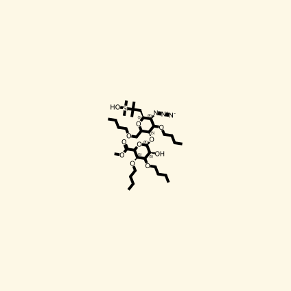 CCCCOCC1O[C@@H](CC(C)(C)[Si](C)(C)O)[C@@H](N=[N+]=[N-])C(OCCCC)[C@@H]1O[C@@H]1OC(C(=O)OC)[C@@H](OCCCC)C(OCCCC)[C@@H]1O